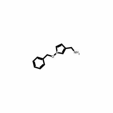 NCc1ccn(OCc2ccccc2)c1